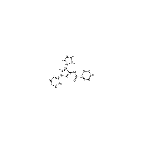 O=C(Nc1cn(-c2ccccc2)nc1-c1cccs1)c1ccccc1